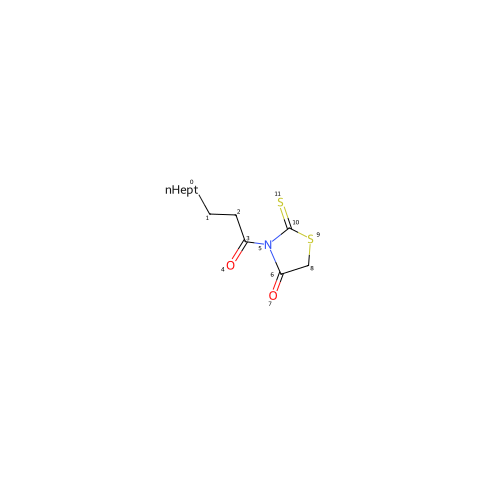 CCCCCCCCCC(=O)N1C(=O)CSC1=S